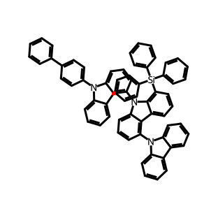 c1ccc(-c2ccc(-n3c4ccccc4c4c(-n5c6cccc(-n7c8ccccc8c8ccccc87)c6c6cccc([Si](c7ccccc7)(c7ccccc7)c7ccccc7)c65)cccc43)cc2)cc1